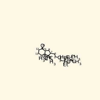 CCC(CC)(COCCC1CC2C(=O)CCCC2(C)C1(C)C)O[Si](C)(C)C